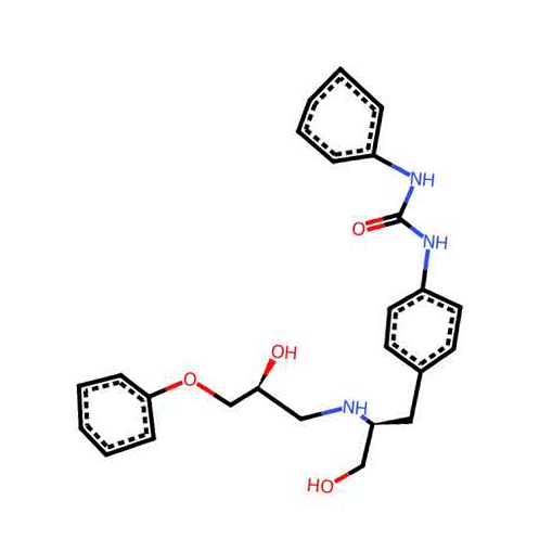 O=C(Nc1ccccc1)Nc1ccc(C[C@@H](CO)NC[C@H](O)COc2ccccc2)cc1